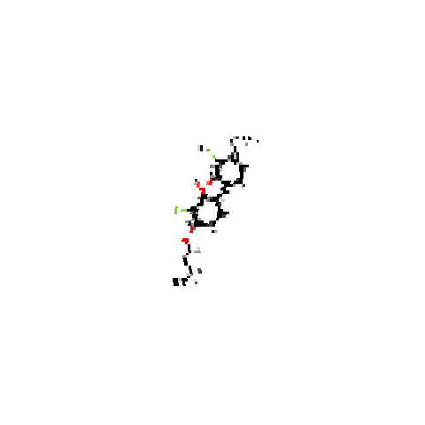 COc1ccc2c(oc3c(F)c(OCCCC(C)C)ccc32)c1F